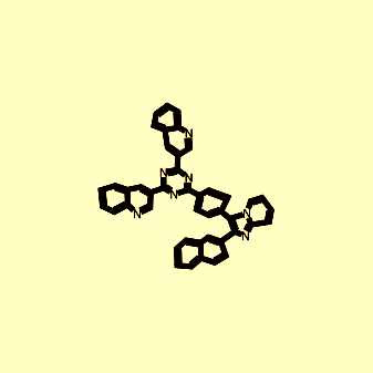 c1ccc2cc(-c3nc4ccccn4c3-c3ccc(-c4nc(-c5cnc6ccccc6c5)nc(-c5cnc6ccccc6c5)n4)cc3)ccc2c1